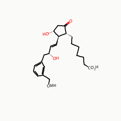 COCc1cccc(C[C@@H](O)/C=C/[C@H]2[C@H](O)CC(=O)[C@@H]2CCCCCCC(=O)O)c1